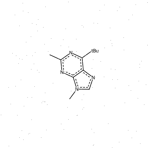 Cc1nc(C(C)(C)C)c2ncn(C)c2n1